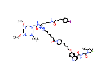 CC1(F)C[C@H](C#N)N(C(=O)CNC(=O)c2ccnc3ccc(OCCCCC4CCN(C(=O)CCCCC/C=N/N[C@H](CCCCNC(=O)CCCc5ccc(I)cc5)NC(=O)CN5CCN(COC=O)CCN(COC=O)CCN(CC(=O)O)CC5)CC4)cc23)C1